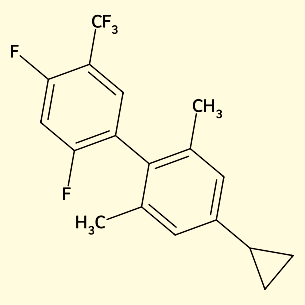 Cc1cc(C2CC2)cc(C)c1-c1cc(C(F)(F)F)c(F)cc1F